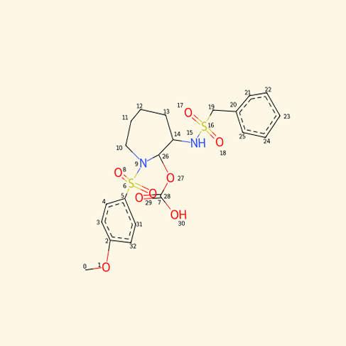 COc1ccc(S(=O)(=O)N2CCCCC(NS(=O)(=O)Cc3ccccc3)C2OC(=O)O)cc1